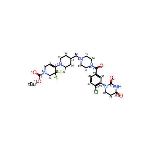 CC(C)(C)OC(=O)N1CC=C(N2CCC(CN3CCN(C(=O)c4ccc(Cl)c(N5CCC(=O)NC5=O)c4)CC3)CC2)C(F)(F)C1